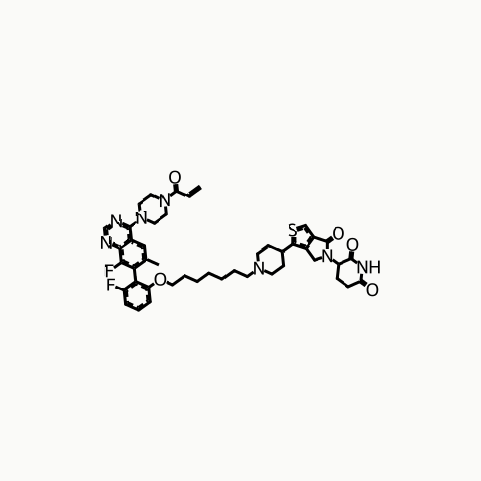 C=CC(=O)N1CCN(c2ncnc3c(F)c(-c4c(F)cccc4OCCCCCCCN4CCC(c5scc6c5CN(C5CCC(=O)NC5=O)C6=O)CC4)c(C)cc23)CC1